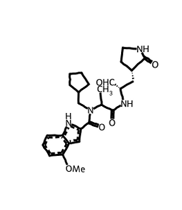 COc1cccc2[nH]c(C(=O)N(CC3CCCC3)C(C)C(=O)N[C@H](C=O)C[C@@H]3CCNC3=O)cc12